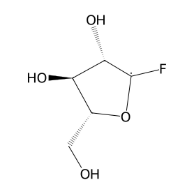 OC[C@H]1O[C](F)[C@@H](O)[C@@H]1O